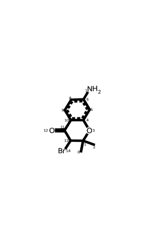 CC1(C)Oc2cc(N)ccc2C(=O)C1Br